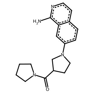 Nc1nccc2ccc(N3CCC(C(=O)N4CCCC4)C3)cc12